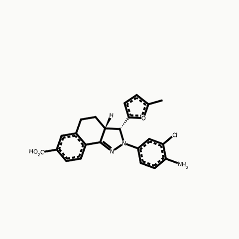 Cc1ccc([C@H]2[C@H]3CCc4cc(C(=O)O)ccc4C3=NN2c2ccc(N)c(Cl)c2)o1